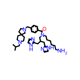 CC(C)CN1CCC2(CC1)CCN(Cc1ccc(C(=O)N(CCCCCCN)CC(Cc3ncc[nH]3)Cc3ncc[nH]3)cc1)C2